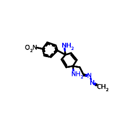 C=NN=CCC1(N)C=CC(N)(c2ccc([N+](=O)[O-])cc2)C=C1